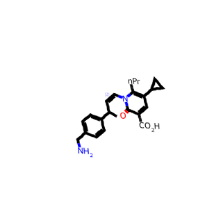 CCCc1c(C2CC2)cc(C(=O)O)c(=O)n1/C=C\C(C)c1ccc(CN)cc1